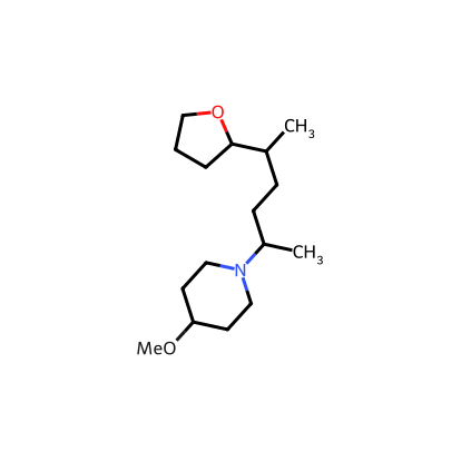 COC1CCN(C(C)CCC(C)C2CCCO2)CC1